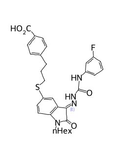 CCCCCCN1C(=O)/C(=N/NC(=O)Nc2cccc(F)c2)c2cc(SCCCc3ccc(C(=O)O)cc3)ccc21